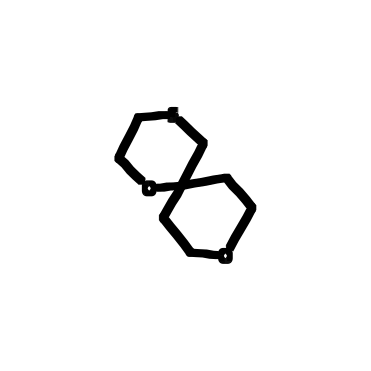 C1CC2(CCO1)CSCCO2